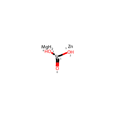 O=[Si](O)O.[MgH2].[Zn]